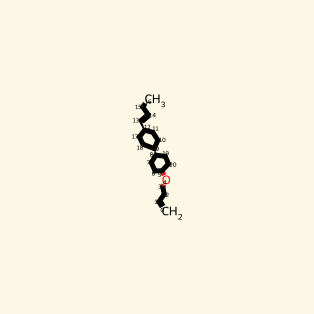 C=CCCOC1CCC([C@H]2CC[C@H](/C=C/CC)CC2)CC1